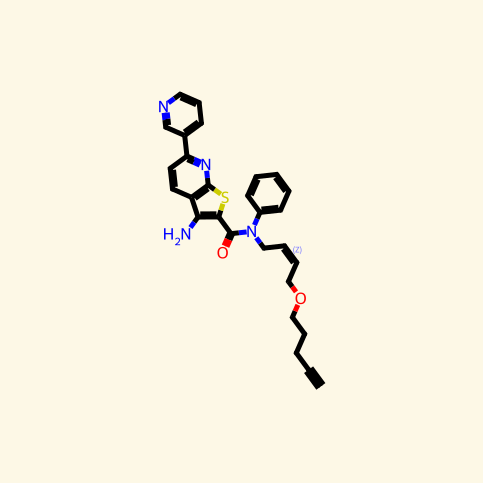 C#CCCCOC/C=C\CN(C(=O)c1sc2nc(-c3cccnc3)ccc2c1N)c1ccccc1